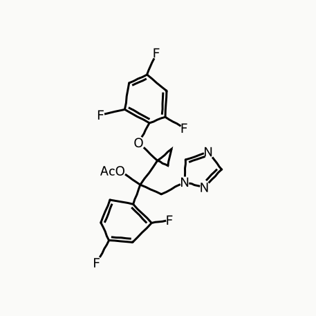 CC(=O)OC(Cn1cncn1)(c1ccc(F)cc1F)C1(Oc2c(F)cc(F)cc2F)CC1